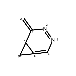 C=C1N=NC=C2[C]C12